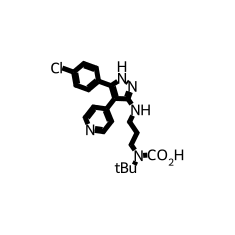 CC(C)(C)N(CCCNc1n[nH]c(-c2ccc(Cl)cc2)c1-c1ccncc1)C(=O)O